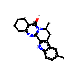 Cc1ccc2[nH]c3c(c2c1)CC(C)n1c-3nc2c(c1=O)CCCC2